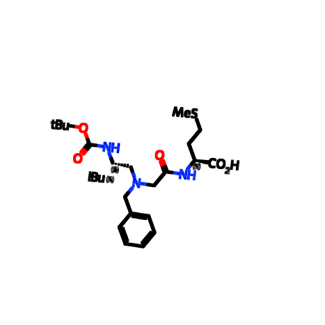 CC[C@H](C)[C@@H](CN(CC(=O)N[C@@H](CCSC)C(=O)O)Cc1ccccc1)NC(=O)OC(C)(C)C